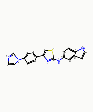 c1cn(-c2ccc(-c3csc(Nc4ccc5[nH]ccc5c4)n3)cc2)cn1